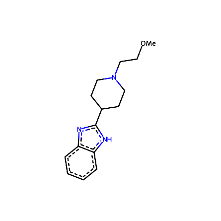 COCCN1CCC(c2nc3ccccc3[nH]2)CC1